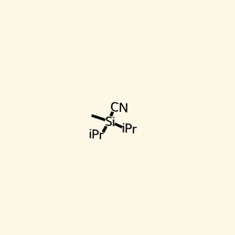 CC(C)[Si](C)(C#N)C(C)C